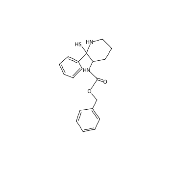 O=C(NC1CCCNC1(S)c1ccccc1)OCc1ccccc1